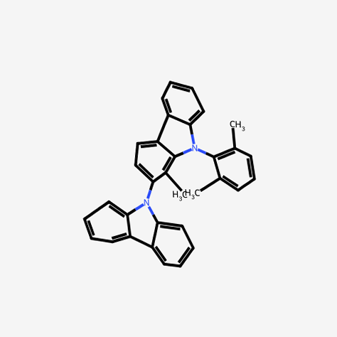 Cc1cccc(C)c1-n1c2ccccc2c2ccc(-n3c4ccccc4c4ccccc43)c(C)c21